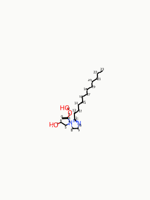 C=C(OO)[N+]1(CCO)CCN=C1CCCCCCCCCCCC